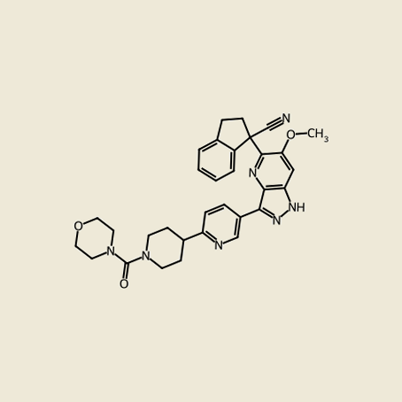 COc1cc2[nH]nc(-c3ccc(C4CCN(C(=O)N5CCOCC5)CC4)nc3)c2nc1C1(C#N)CCc2ccccc21